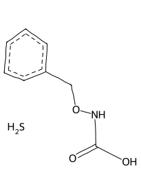 O=C(O)NOCc1ccccc1.S